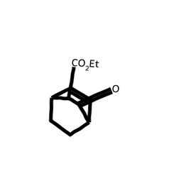 CCOC(=O)C1C(=O)C2C=CC1CC2